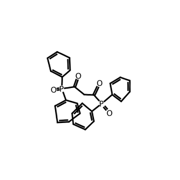 O=C(CC(=O)P(=O)(c1ccccc1)c1ccccc1)P(=O)(c1ccccc1)c1ccccc1